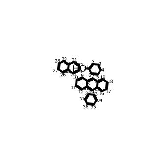 Oc1ccccc1.[c]1c2ccccc2cc2ccccc12.[c]1cccc2ccccc12.[c]1ccccc1